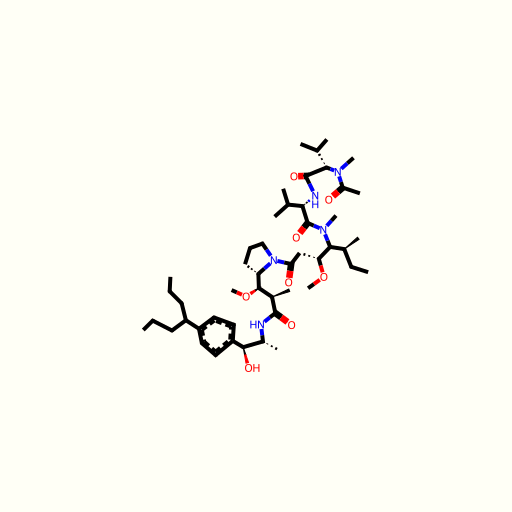 CCCC(CCC)c1ccc([C@H](O)[C@@H](C)NC(=O)[C@H](C)[C@@H](OC)[C@@H]2CCCN2C(=O)C[C@@H](OC)C([C@@H](C)CC)N(C)C(=O)[C@@H](NC(=O)[C@H](C(C)C)N(C)C(C)=O)C(C)C)cc1